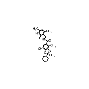 Cc1cc(C)c(CNC(=O)c2cc(Cl)c3c(c2C)OC(C)(C2CCCCC2)O3)c(=O)[nH]1